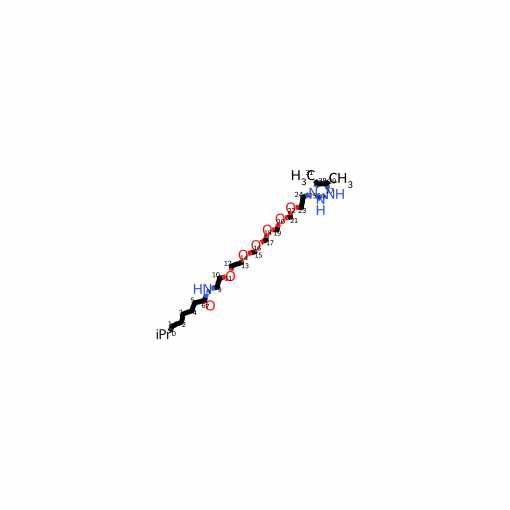 CC(C)CCCCCC(=O)NCCOCCOCOCOCOCOCCN1NNC(C)C1C